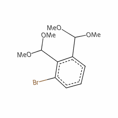 COC(OC)c1cccc(Br)c1C(OC)OC